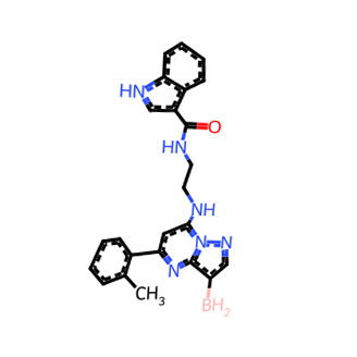 Bc1cnn2c(NCCNC(=O)c3c[nH]c4ccccc34)cc(-c3ccccc3C)nc12